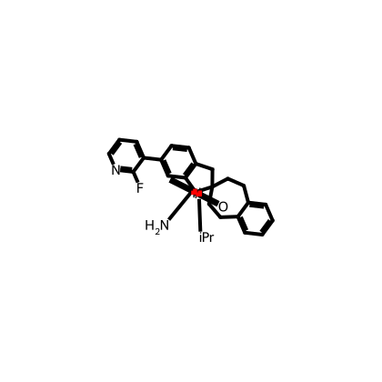 CC(C)N1C(=O)C2(N=C1N)c1cc(-c3cccnc3F)ccc1CC21CCc2ccccc2CC1